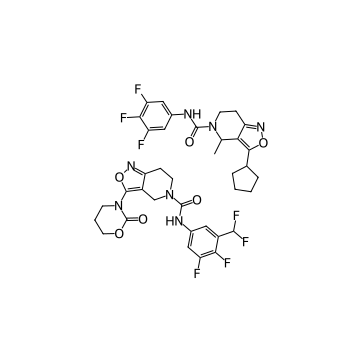 CC1c2c(noc2C2CCCC2)CCN1C(=O)Nc1cc(F)c(F)c(F)c1.O=C(Nc1cc(F)c(F)c(C(F)F)c1)N1CCc2noc(N3CCCOC3=O)c2C1